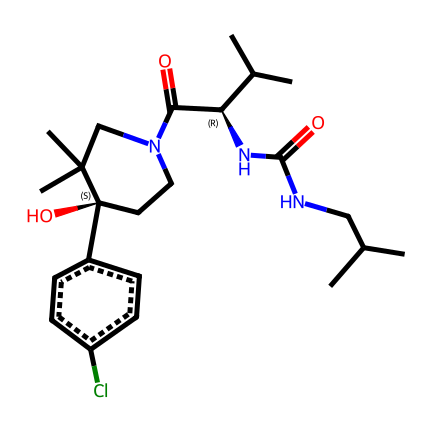 CC(C)CNC(=O)N[C@@H](C(=O)N1CC[C@](O)(c2ccc(Cl)cc2)C(C)(C)C1)C(C)C